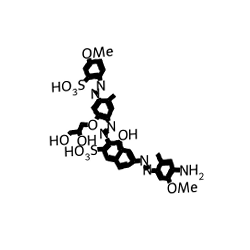 COc1ccc(N=Nc2cc(OCC(O)CO)c(N=Nc3c(S(=O)(=O)O)cc4ccc(N=Nc5cc(OC)c(N)cc5C)cc4c3O)cc2C)c(S(=O)(=O)O)c1